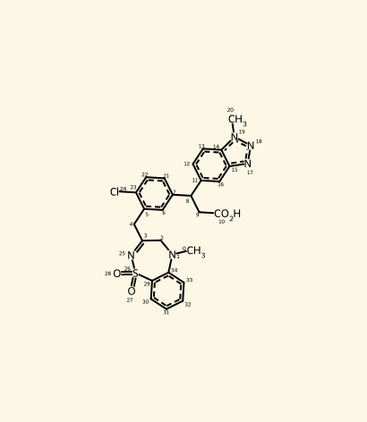 CN1CC(Cc2cc(C(CC(=O)O)c3ccc4c(c3)nnn4C)ccc2Cl)=NS(=O)(=O)c2ccccc21